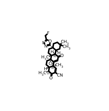 C[C@@H]1C(=O)C(C#N)=C[C@]2(C)C3=CC(=O)[C@@H]4[C@@H]5CC(C)(C)CC[C@]5(c5nnc(CF)o5)CC[C@@]4(C)[C@]3(C)CC[C@@H]12